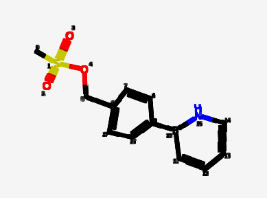 CS(=O)(=O)OCc1ccc(B2C=CC=CN2)cc1